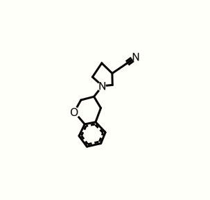 N#CC1CCN(C2COc3ccccc3C2)C1